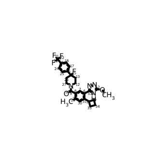 COc1nnc(-c2cc(C(=O)N3CCC(F)(c4ccc(C(F)(F)F)cc4)CC3)c(C)cc2C2CCC2)[nH]1